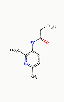 CCOC(=O)CC(=O)Nc1ccc(C)nc1C(=O)OCC